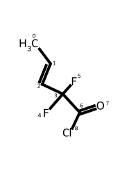 CC=CC(F)(F)C(=O)Cl